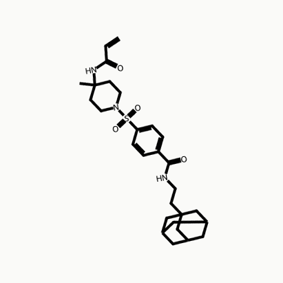 C=CC(=O)NC1(C)CCN(S(=O)(=O)c2ccc(C(=O)NCCC34CC5CC(CC(C5)C3)C4)cc2)CC1